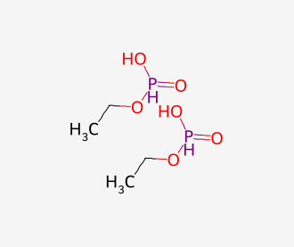 CCO[PH](=O)O.CCO[PH](=O)O